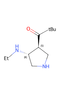 CCN[C@H]1CNC[C@@H]1C(=O)C(C)(C)C